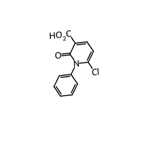 O=C(O)c1ccc(Cl)n(-c2ccccc2)c1=O